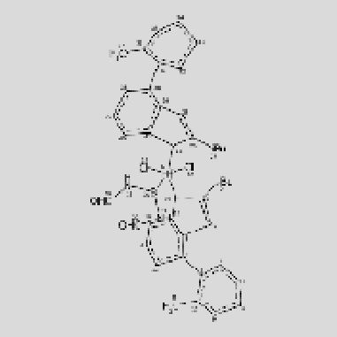 CCC(C)C1=Cc2c(-c3ccccc3C(F)(F)F)cccc2[CH]1[Hf]([Cl])([Cl])([B](NC=O)NC=O)[CH]1C(C(C)CC)=Cc2c(-c3ccccc3C(F)(F)F)cccc21